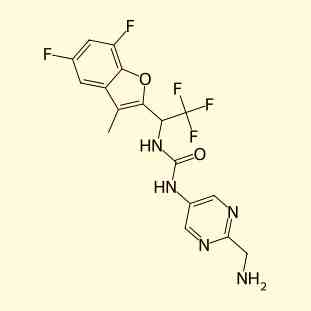 Cc1c(C(NC(=O)Nc2cnc(CN)nc2)C(F)(F)F)oc2c(F)cc(F)cc12